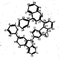 C1=CCC(C2=Cc3c(c4ccccc4n3-c3ccc4c(c3)OC3C=CC=C(c5cc(-c6ccccc6)c6ccccc6n5)C43)CC2)C=C1